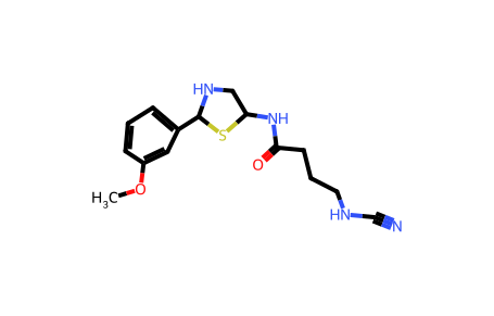 COc1cccc(C2NCC(NC(=O)CCCNC#N)S2)c1